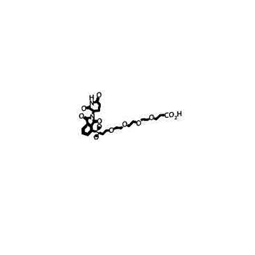 O=C(O)CCOCCOCCOCCOCCS(=O)(=O)c1cccc2c1C(=O)N(C1CCC(=O)NC1=O)C2=O